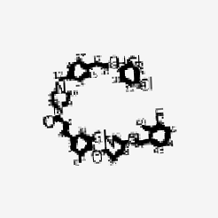 Cc1cc(C=CC(=O)N2CCN(Cc3ccc(CCOc4ccc(Cl)cc4)cc3)CC2)cc(Cl)c1Oc1ccc(OCc2cccc(F)c2C)cn1.Cl